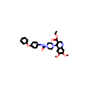 CCOC(=O)c1cnc2cc(OC)c(OC)cc2c1N1CCN(C(=O)Nc2ccc(Oc3ccccc3)cc2)CC1